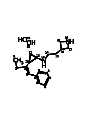 CCC(=Cc1ccccc1)[C@@H]1C[C@H]1NCCC1CNC1.Cl.Cl